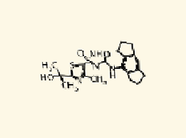 Cc1nc(C(C)(C)O)sc1[S@@](N)(=O)=NC(=O)Nc1c2c(cc3c1CCC3)CCC2